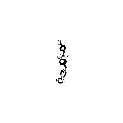 O=C(Nc1ccc(CN2CCN(c3cnccn3)CC2)cc1)OCc1ccc(Cl)cc1